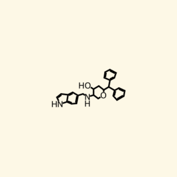 OC1CC(C(c2ccccc2)c2ccccc2)OCC1NCc1ccc2[nH]ccc2c1